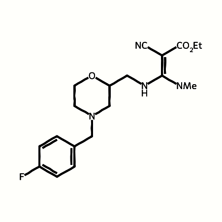 CCOC(=O)C(C#N)=C(NC)NCC1CN(Cc2ccc(F)cc2)CCO1